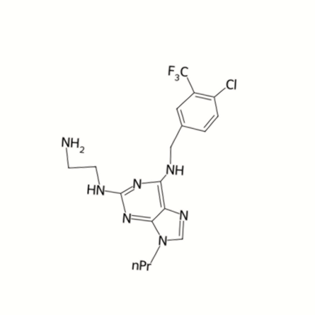 CCCn1cnc2c(NCc3ccc(Cl)c(C(F)(F)F)c3)nc(NCCN)nc21